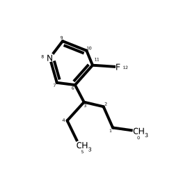 CCCC(CC)c1cnccc1F